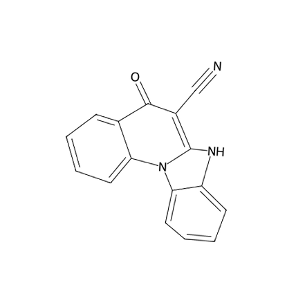 N#Cc1c(=O)c2ccccc2n2c1[nH]c1ccccc12